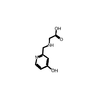 O=C(O)CNCc1cc(O)ccn1